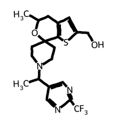 CC1Cc2cc(CO)sc2C2(CCN(C(C)c3cnc(C(F)(F)F)nc3)CC2)O1